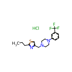 CCCc1nc(CN2CCN(c3cccc(C(F)(F)F)c3)CC2)cs1.Cl